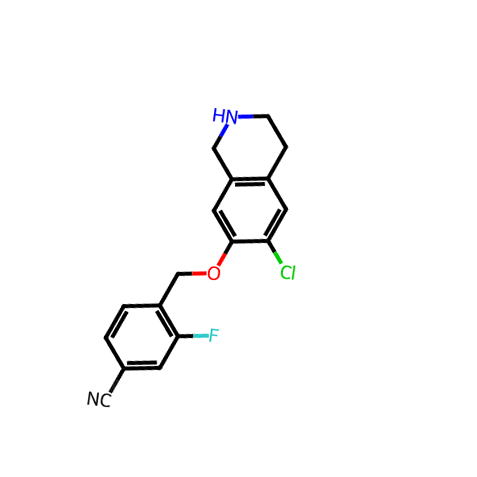 N#Cc1ccc(COc2cc3c(cc2Cl)CCNC3)c(F)c1